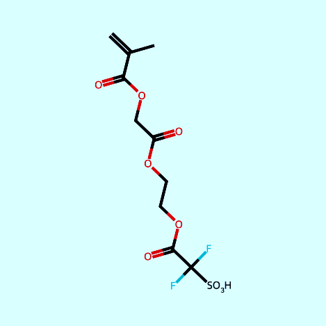 C=C(C)C(=O)OCC(=O)OCCOC(=O)C(F)(F)S(=O)(=O)O